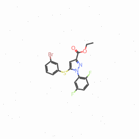 CCOC(=O)c1cc(Sc2cccc(Br)c2)n(-c2cc(F)ccc2F)n1